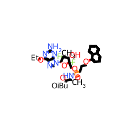 CCOc1nc(N)nc2c1ncn2[C@@H]1O[C@](F)(COP(=O)(CCCOc2cccc3ccccc23)N[C@@H](C)C(=O)OCC(C)C)[C@@H](O)[C@@]1(C)F